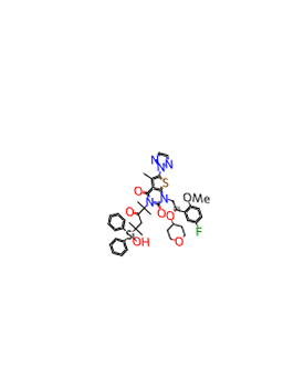 COc1ccc(F)cc1[C@H](Cn1c(=O)n(C(C)(C)C(=O)CC(C)(C)[Si](O)(c2ccccc2)c2ccccc2)c(=O)c2c(C)c(-n3nccn3)sc21)OC1CCOCC1